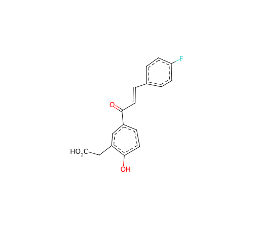 O=C(O)Cc1cc(C(=O)C=Cc2ccc(F)cc2)ccc1O